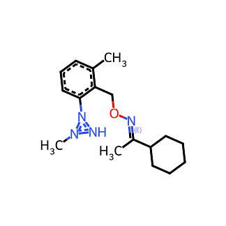 C/C(=N\OCc1c(C)cccc1-n1[nH]n1C)C1CCCCC1